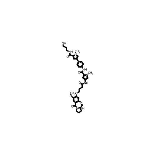 COc1cc2c(cc1OCCCC(=O)Nc1cc(C(=O)Nc3ccc(-c4cc(C(=O)NCCCO)n(C)c4)cc3)n(C)c1)N=C[C@@H]1CCCN1C2=O